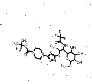 CSC1OC(C(NC(=O)C(F)(F)F)C(C)Sc2nnc(N3CCN(C(=O)OC(C)(C)C)CC3)s2)C(O)C(O)C1O